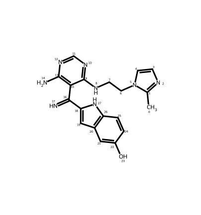 Cc1nccn1CCNc1ncnc(N)c1C(=N)c1cc2cc(O)ccc2[nH]1